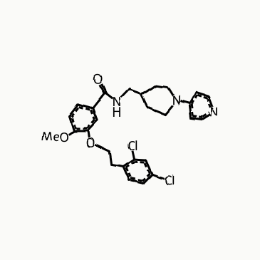 COc1ccc(C(=O)NCC2CCN(c3ccncc3)CC2)cc1OCCc1ccc(Cl)cc1Cl